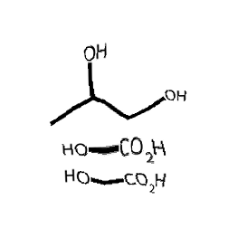 CC(O)CO.O=C(O)O.O=C(O)O